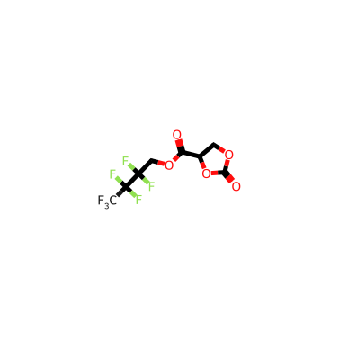 O=C1OCC(C(=O)OCC(F)(F)C(F)(F)C(F)(F)F)O1